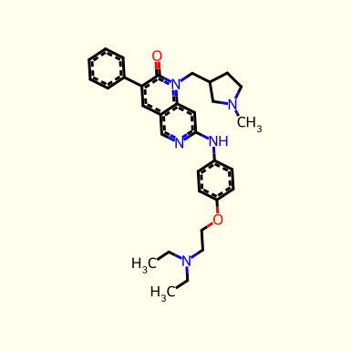 CCN(CC)CCOc1ccc(Nc2cc3c(cn2)cc(-c2ccccc2)c(=O)n3CC2CCN(C)C2)cc1